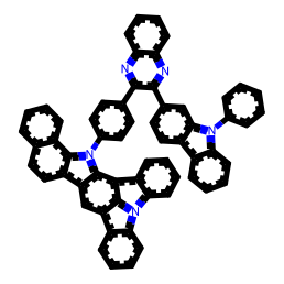 c1ccc(-n2c3ccccc3c3ccc(-c4nc5ccccc5nc4-c4ccc(-n5c6c7ccccc7ccc6c6cc7c8ccccc8n8c9ccccc9c(c65)c78)cc4)cc32)cc1